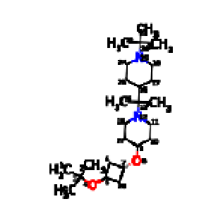 CC(C)(C)O[C@H]1C[C@H](OC2CCN(C(C)(C)C3CCN(C(C)(C)C)CC3)CC2)C1